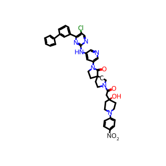 O=C(CC1(O)CCN(c2ccc([N+](=O)[O-])cc2)CC1)N1CCC2(CC1)CCN(c1cncc(Nc3ncc(Cl)c(-c4cccc(-c5ccccc5)c4)n3)c1)C2=O